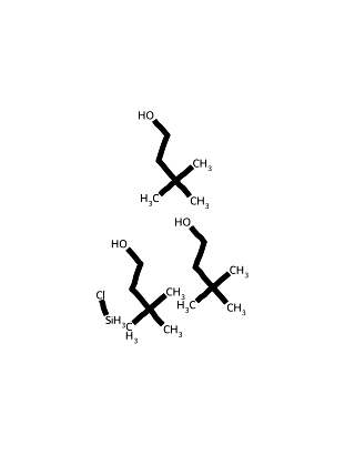 CC(C)(C)CCO.CC(C)(C)CCO.CC(C)(C)CCO.[SiH3]Cl